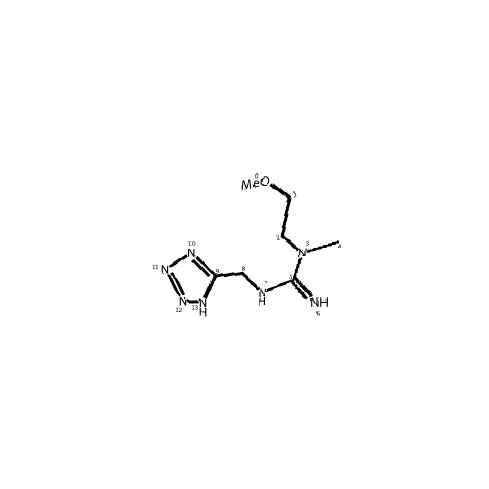 COCCN(C)C(=N)NCc1nnn[nH]1